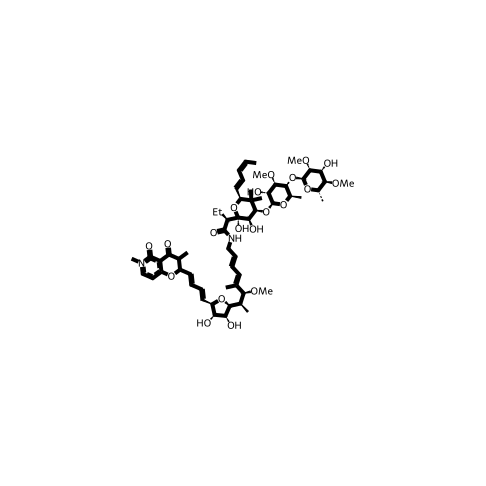 C/C=C\C=C\[C@@H]1O[C@](O)([C@H](CC)C(=O)NC/C=C/C=C(\C)[C@@H](OC)[C@@H](C)[C@@H]2O[C@H](/C=C/C=C/C3Oc4ccn(C)c(=O)c4C(=O)C3C)[C@@H](O)[C@H]2O)[C@H](O)[C@H](O[C@@H]2O[C@H](C)[C@@H](O[C@@H]3O[C@@H](C)[C@H](OC)[C@@H](O)[C@H]3OC)[C@@H](OC)[C@H]2O)C1(C)C